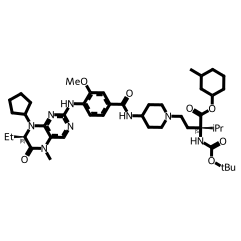 CC[C@@H]1C(=O)N(C)c2cnc(Nc3ccc(C(=O)NC4CCN(CC[C@@](NC(=O)OC(C)(C)C)(C(=O)OC5CCCC(C)C5)C(C)C)CC4)cc3OC)nc2N1C1CCCC1